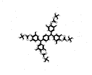 Cc1cc(C(c2ccc(C(c3cc(C)c(OC(=O)OC(C)(C)C)c(C)c3)c3cc(C)c(OC(=O)OC(C)(C)C)c(C)c3)cc2)c2cc(C)c(OC(=O)OC(C)(C)C)c(C)c2)cc(C)c1OC(=O)OC(C)(C)C